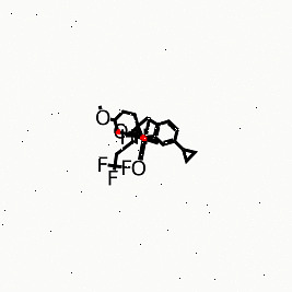 COC1CCC2(CC1)Cc1ccc(C3CC3)cc1C21NC(=O)N(CC(F)(F)F)C1=O